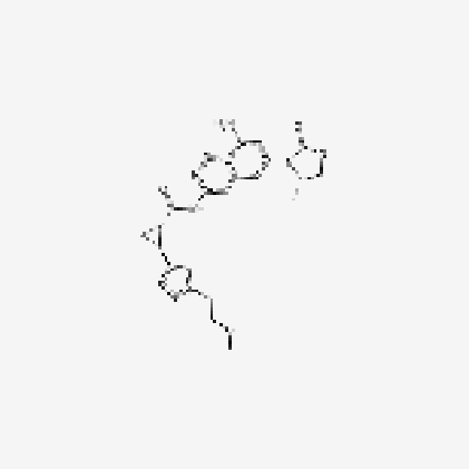 COCCn1cc([C@H]2C[C@@H]2C(=O)Nc2cc3cc(N4C(=O)OC[C@@H]4C)cc(N)c3nn2)cn1